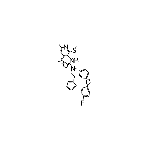 CSc1cc(C)nc(SC)c1NC(=O)N(CCc1ccccc1)Cc1ccc(Oc2ccc(F)cc2)cc1